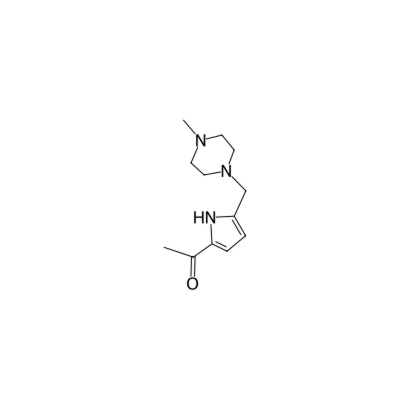 CC(=O)c1ccc(CN2CCN(C)CC2)[nH]1